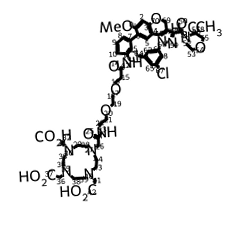 COc1cc2c(cc1-c1cccc(NC(=O)CCOCCOCCNC(=O)CN3CCN(CC(=O)O)CCN(CC(=O)O)CCN(CC(=O)O)CC3)c1)-c1c(c(C(=O)N3CCOCC3(C)C)nn1-c1cc(Cl)cc(Cl)c1)CO2